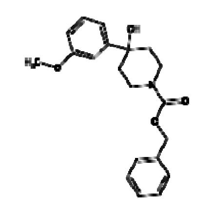 COc1cccc(C2(O)CCN(C(=O)OCc3ccccc3)CC2)c1